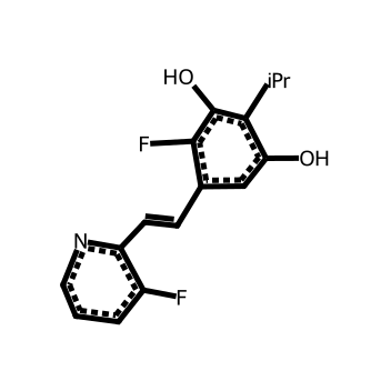 CC(C)c1c(O)cc(C=Cc2ncccc2F)c(F)c1O